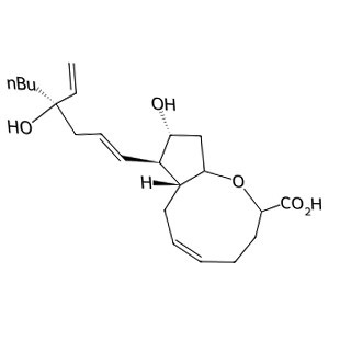 C=C[C@](O)(C/C=C/[C@H]1[C@H](O)CC2OC(C(=O)O)CC/C=C\C[C@@H]21)CCCC